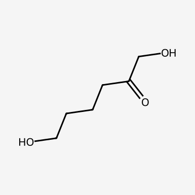 O=C(CO)CCCCO